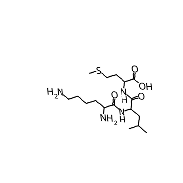 CSCCC(NC(=O)C(CC(C)C)NC(=O)C(N)CCCCN)C(=O)O